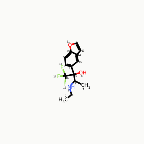 CCNC(C)C(O)(c1ccc2occc2c1)C(F)(F)F